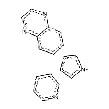 c1cc[nH]c1.c1ccc2nccnc2c1.c1ccncc1